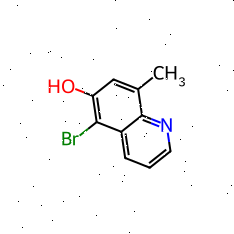 Cc1cc(O)c(Br)c2cccnc12